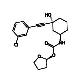 O=C(N[C@@H]1CCC[C@](O)(C#Cc2cccc(Cl)c2)C1)O[C@H]1CCCO1